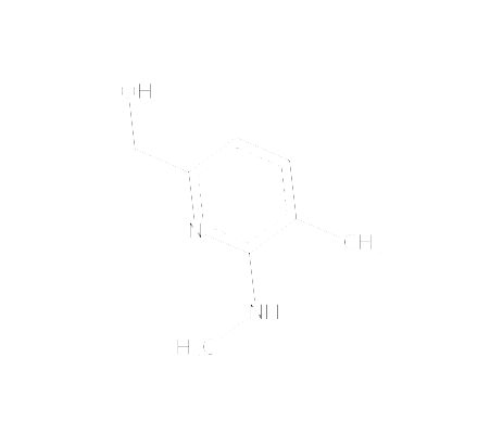 CNc1nc(CO)ccc1C